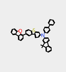 CC1(C)c2ccccc2-c2ccc(N(c3ccc(-c4ccccc4)cc3)c3ccc4c(c3)sc3ccc(-c5cccc6c5oc5ccccc56)cc34)cc21